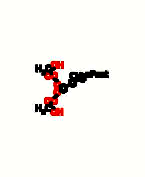 C=C(CO)C(=O)OCCOc1cc(-c2ccc(-c3ccc(CCCCC)cc3)c(C)c2)ccc1OCCOC(=O)C(C)CO